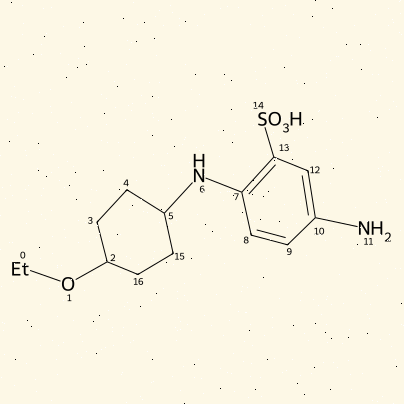 CCOC1CCC(Nc2ccc(N)cc2S(=O)(=O)O)CC1